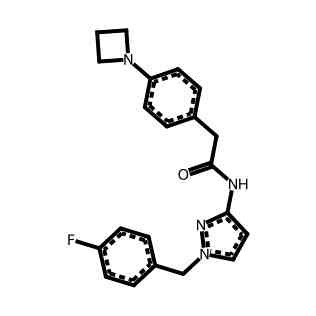 O=C(Cc1ccc(N2CCC2)cc1)Nc1ccn(Cc2ccc(F)cc2)n1